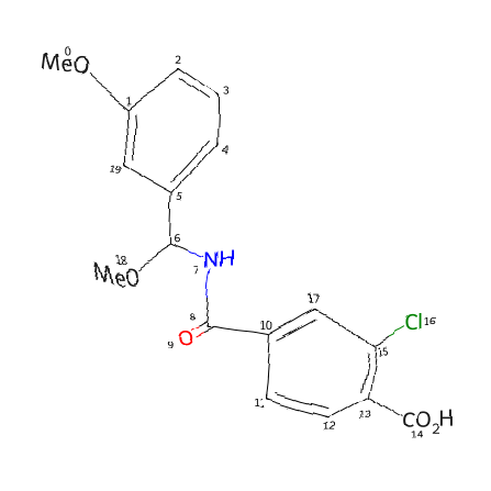 COc1cccc(C(NC(=O)c2ccc(C(=O)O)c(Cl)c2)OC)c1